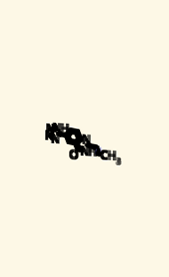 C/C=C/c1nc2ccc(-c3nnn[nH]3)cc2c(=O)[nH]1